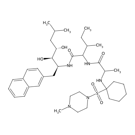 CCC(C)C(NC(=O)C(C)NC1(S(=O)(=O)N2CCN(C)CC2)CCCCC1)C(=O)N[C@@H](Cc1ccc2ccccc2c1)[C@@H](O)[C@@H](O)CC(C)C